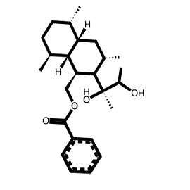 CC(O)[C@@](C)(O)C1[C@@H](COC(=O)c2ccccc2)[C@H]2[C@@H](C[C@@H]1C)[C@@H](C)CC[C@@H]2C